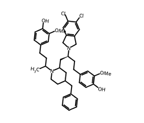 COc1cc(CCC(C)N2CCC(Cc3ccccc3)CC2C[C@H](CCc2ccc(O)c(OC)c2)N2Cc3cc(Cl)c(Cl)cc3C2)ccc1O